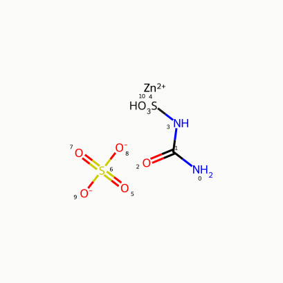 NC(=O)NS(=O)(=O)O.O=S(=O)([O-])[O-].[Zn+2]